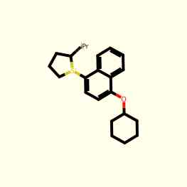 CC(C)C1CCC[S+]1c1ccc(OC2CCCCC2)c2ccccc12